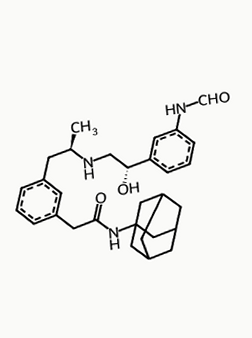 C[C@H](Cc1cccc(CC(=O)NC23CC4CC(CC(C4)C2)C3)c1)NC[C@@H](O)c1cccc(NC=O)c1